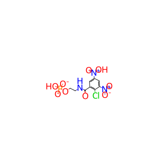 O=C(NCCOP(=O)([O-])O)c1cc([N+](=O)O)cc([N+](=O)[O-])c1Cl